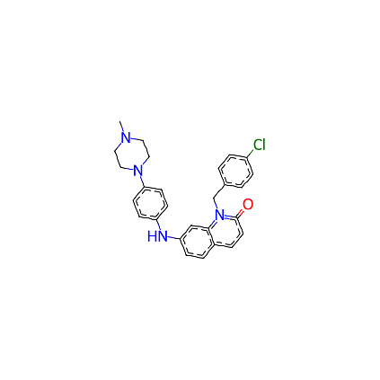 CN1CCN(c2ccc(Nc3ccc4ccc(=O)n(Cc5ccc(Cl)cc5)c4c3)cc2)CC1